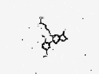 COc1ccc(OC)c(-c2cc3c(cc2OCCCC(=O)O)C(=O)CC3)c1